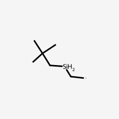 [CH2]C[SiH2]CC(C)(C)C